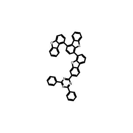 c1ccc(-c2nc(-c3ccccc3)nc(-c3ccc4c(c3)oc3c(-c5ccc(-c6cccc7oc8ccccc8c67)c6c5sc5ccccc56)cccc34)n2)cc1